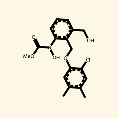 COC(=O)N(O)c1cccc(CO)c1COc1cc(C)c(C)cc1Cl